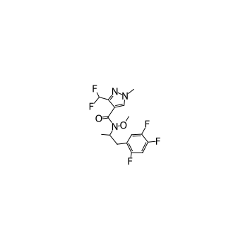 CON(C(=O)c1cn(C)nc1C(F)F)C(C)Cc1cc(F)c(F)cc1F